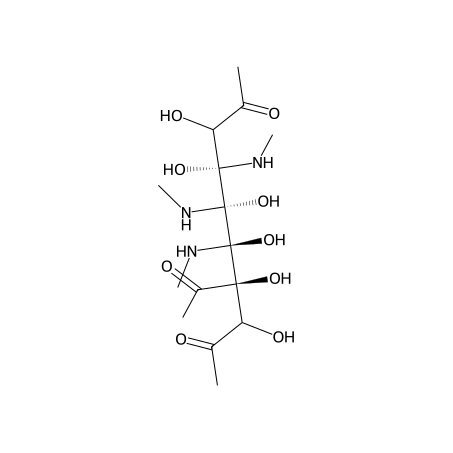 CN[C@](O)([C@@](O)(NC)[C@](O)(NC)C(O)C(C)=O)[C@@](O)(C(C)=O)C(O)C(C)=O